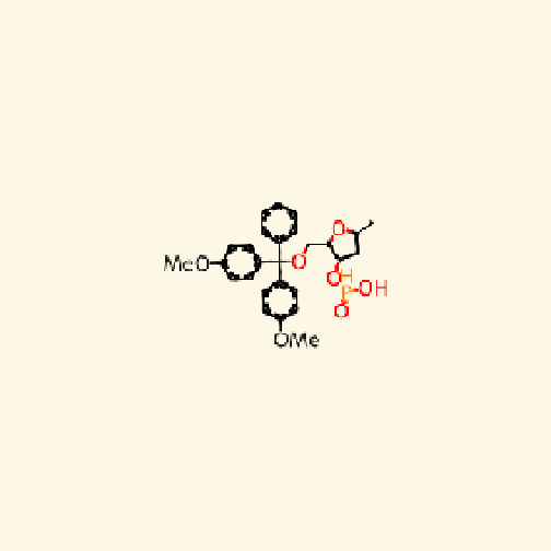 COc1ccc(C(OC[C@H]2O[C@@H](C)C[C@H]2O[PH](=O)O)(c2ccccc2)c2ccc(OC)cc2)cc1